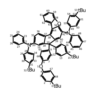 CC(C)(C)c1ccc(Oc2ccc(C3(c4ccc(C(C)(C)C)cc4)c4cc(N(c5ccccc5)c5ccc(C(C)(C)C)cc5)ccc4-c4c3cc(N(c3ccccc3)c3ccc(C(C)(C)C)cc3)c3oc5ccccc5c43)cc2)cc1